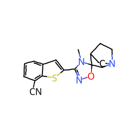 CN1C(c2cc3cccc(C#N)c3s2)=NOC12CN1CCC2CC1